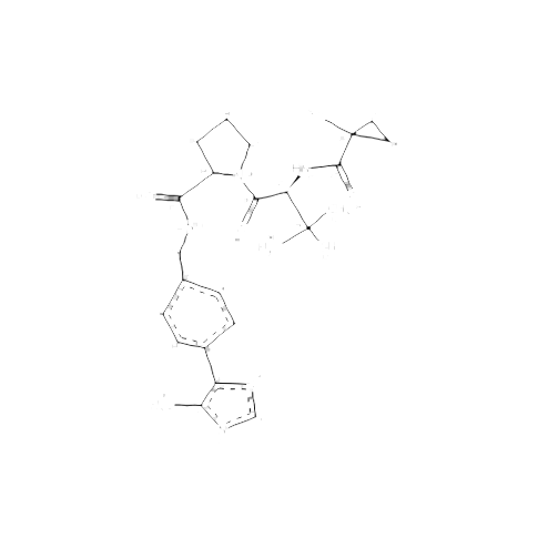 Cc1ncsc1-c1ccc(CNC(=O)C2CCCN2C(=O)[C@@H](NC(=O)C2(F)CC2)C(C)(C)S)cc1